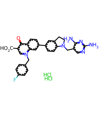 Cl.Cl.Nc1ncc(CN2CCc3cc(-c4ccc5c(=O)c(C(=O)O)cn(Cc6ccc(F)cc6)c5c4)ccc32)c(N)n1